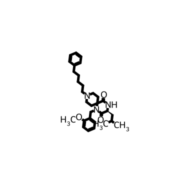 COc1ccccc1CN1C(=O)[C@H](CC(C)C)NC(=O)C12CCN(CCCCCc1ccccc1)CC2